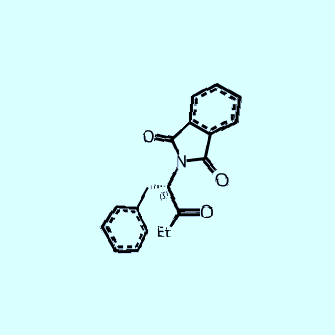 CCC(=O)[C@H](Cc1ccccc1)N1C(=O)c2ccccc2C1=O